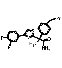 CC(C)Cc1ccc(C(C)(C(N)=O)c2nc(-c3ccc(F)c(F)c3)cs2)cc1